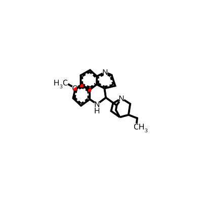 CCC1CN2CCC1CC2C(Nc1ccccc1)c1ccnc2ccc(OC)cc12